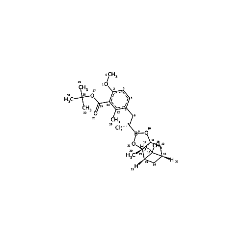 COc1ccc(C[C@@H](Cl)B2OC3C[C@@H]4C[C@@H](C4(C)C)[C@]3(C)O2)c(C)c1C(=O)OC(C)(C)C